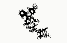 CC(=O)NC(CSC(=O)C(CSC(=O)Cc1c(-c2ccc(Cl)cc2)c(-c2ccccc2)c2n1CC(C)(C)C2)NC(C)=O)C(N)=O